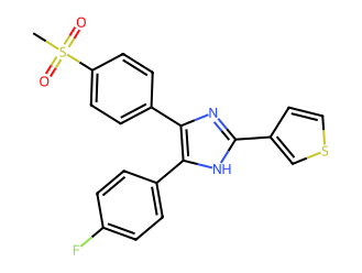 CS(=O)(=O)c1ccc(-c2nc(-c3ccsc3)[nH]c2-c2ccc(F)cc2)cc1